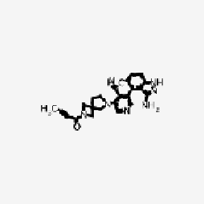 CC#CC(=O)N1CC2(CCN(c3cncc(-c4c(C)ccc5[nH]nc(N)c45)c3C#N)C2)C1